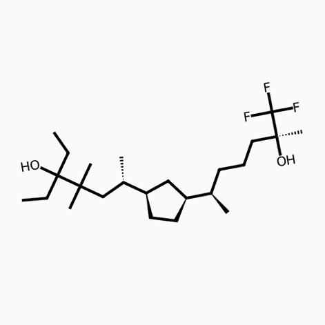 CCC(O)(CC)C(C)(C)C[C@H](C)[C@@H]1CC[C@H]([C@H](C)CCC[C@](C)(O)C(F)(F)F)C1